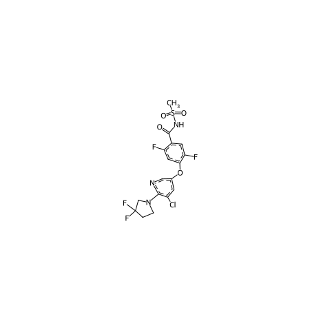 CS(=O)(=O)NC(=O)c1cc(F)c(Oc2cnc(N3CCC(F)(F)C3)c(Cl)c2)cc1F